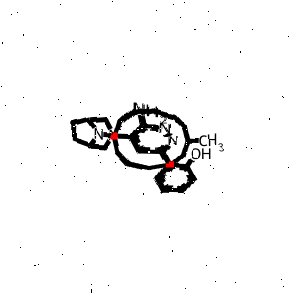 CC1CCCCCC(N2C3CCC2CN(c2cc(-c4ccccc4O)nnc2N)C3)CCCCC1